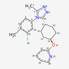 Cc1ccc(-n2c(C)nnc2[C@H]2CC[C@H](Oc3ccccn3)CC2)cc1F